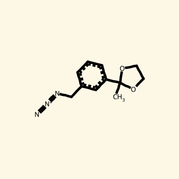 CC1(c2cccc(CN=[N+]=[N-])c2)OCCO1